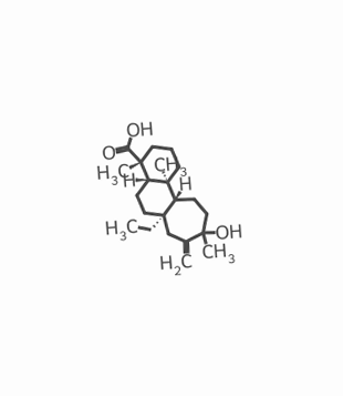 C=C1C[C@@]2(CC)CC[C@H]3[C@@](C)(CCC[C@@]3(C)C(=O)O)[C@@H]2CCC1(C)O